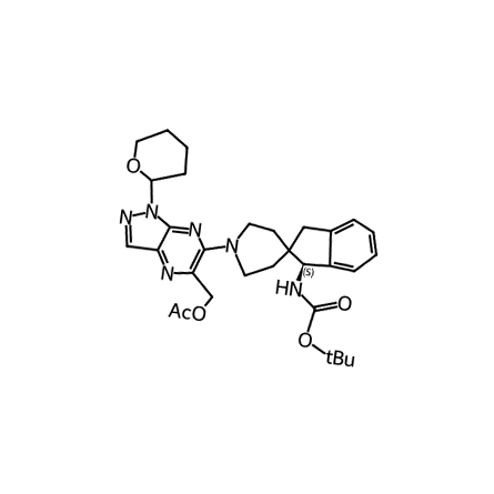 CC(=O)OCc1nc2cnn(C3CCCCO3)c2nc1N1CCC2(CC1)Cc1ccccc1[C@H]2NC(=O)OC(C)(C)C